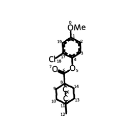 COc1ccc(OC(=O)C23CCC(C)(CC2)CC3)c(Cl)c1